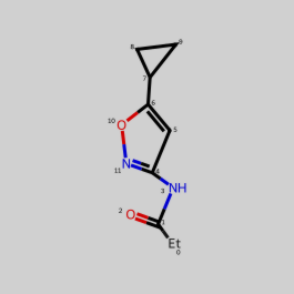 CCC(=O)Nc1cc(C2CC2)on1